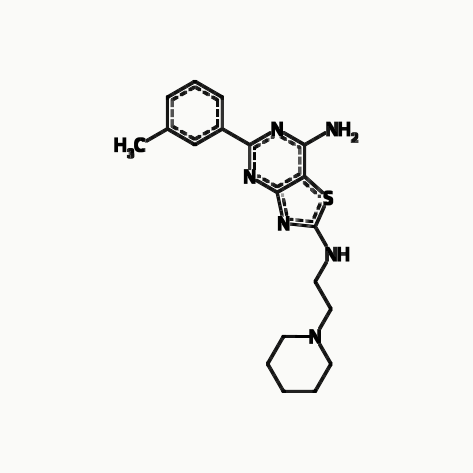 Cc1cccc(-c2nc(N)c3sc(NCCN4CCCCC4)nc3n2)c1